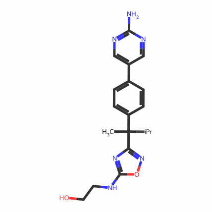 CC(C)C(C)(c1ccc(-c2cnc(N)nc2)cc1)c1noc(NCCO)n1